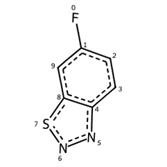 Fc1ccc2nnsc2c1